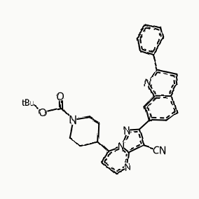 CC(C)(C)OC(=O)N1CCC(c2ccnc3c(C#N)c(-c4ccc5ccc(-c6ccccc6)nc5c4)nn23)CC1